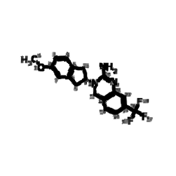 COc1ccc2c(c1)C[C@@H](N1Cc3ccc(C(F)(F)F)cc3N=C1N)C2